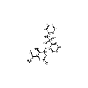 N=c1c(C(N)=O)cc(Cl)cn1Cc1ccccc1S(=O)(=O)Nc1ccccc1